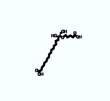 O=C(O)CCCCCCCCCCCCCCC[C@H](O)[C@H](CO)OCCCCC(=O)O